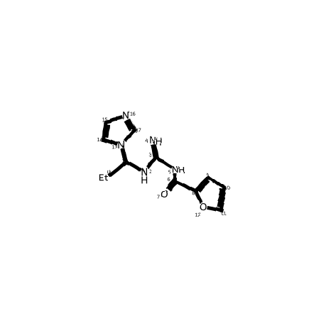 CCC(NC(=N)NC(=O)c1ccco1)n1ccnc1